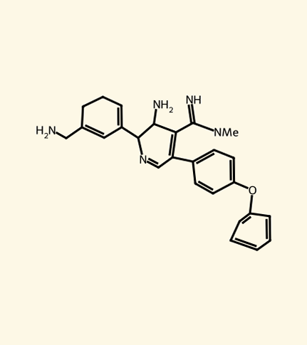 CNC(=N)C1=C(c2ccc(Oc3ccccc3)cc2)C=NC(C2=CCCC(CN)=C2)C1N